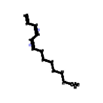 C=C/C=C\C=C/CCCCCCOC(C)=O